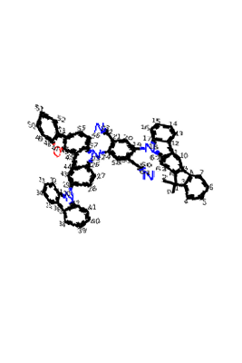 CC1(C)c2ccccc2-c2cc3c4ccccc4n(-c4cc(C#N)c(-n5c6ccc(-n7c8ccccc8c8ccccc87)cc6c6c7oc8ccccc8c7ccc65)cc4C#N)c3cc21